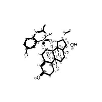 CC1=Nc2ccc(Cl)cc2S(=O)(=O)N1.CC[C@H]1C[C@H]2[C@@H]3CCC4=CC(=O)CC[C@@H]4[C@H]3CC[C@]2(C)[C@H]1O